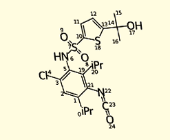 CC(C)c1cc(Cl)c(NS(=O)(=O)c2ccc(C(C)(C)O)s2)c(C(C)C)c1N=C=O